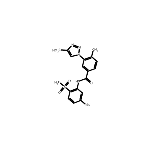 Cc1ccc(C(=O)Nc2cc(C(C)(C)C)ccc2S(C)(=O)=O)cc1-n1cc(C(=O)O)nn1